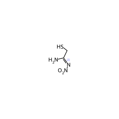 N/C(CS)=N\[N+](=O)[O-]